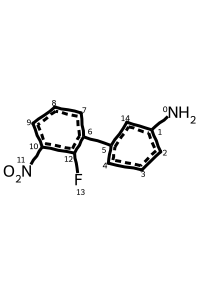 Nc1cccc(-c2cccc([N+](=O)[O-])c2F)c1